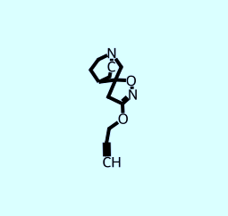 C#CCOC1=NOC2(C1)CN1CCC2CC1